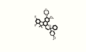 COc1cc2c3c(c4c(c2cc1N1CCOCC1)-c1cc(F)cc(F)c1C4(C)C)C=CC(C1=CCC(OC)C=C1)(c1ccccc1)O3